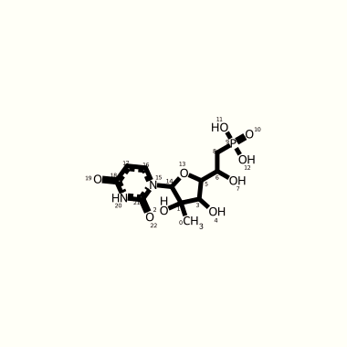 CC1(O)C(O)C(C(O)CP(=O)(O)O)OC1n1ccc(=O)[nH]c1=O